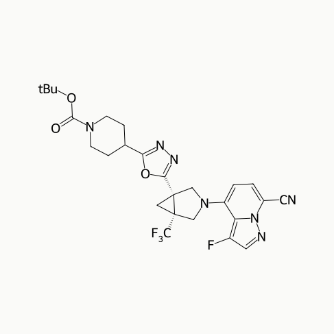 CC(C)(C)OC(=O)N1CCC(c2nnc([C@]34CN(c5ccc(C#N)n6ncc(F)c56)C[C@@]3(C(F)(F)F)C4)o2)CC1